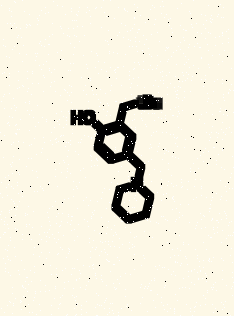 CC(C)(C)Cc1cc(CN2CCCCC2)ccc1O